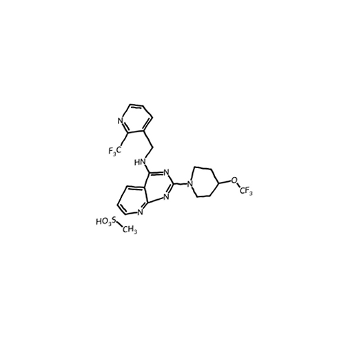 CS(=O)(=O)O.FC(F)(F)OC1CCN(c2nc(NCc3cccnc3C(F)(F)F)c3cccnc3n2)CC1